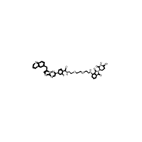 O=C1CCC(N2C(=O)c3cccc(NCCOCCOCCNC(=O)c4ccc(-c5cnc6ncc(Cc7ccc8ncccc8c7)n6n5)cc4F)c3C2=O)C(=O)N1